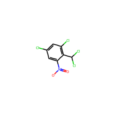 O=[N+]([O-])c1cc(Cl)cc(Cl)c1C(Cl)Cl